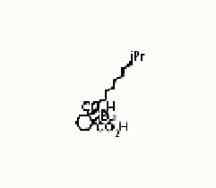 CCC(C)C1(C(=O)O)CCCCC1(CCCCCCCCCC(C)C)C(=O)O